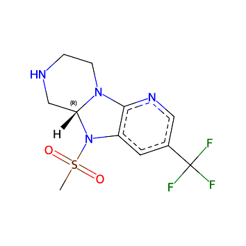 CS(=O)(=O)N1c2cc(C(F)(F)F)cnc2N2CCNC[C@H]21